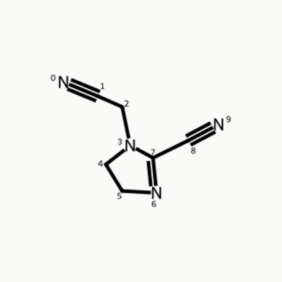 N#CCN1CCN=C1C#N